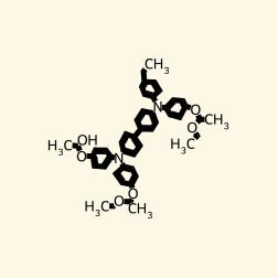 CCOC(C)Oc1ccc(N(c2ccc(CC)cc2)c2ccc(-c3ccc(N(c4ccc(OC(C)O)cc4)c4ccc(OC(C)OCC)cc4)cc3)cc2)cc1